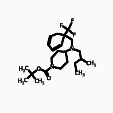 CCC(C)CN(CC1(C(F)(F)F)C=CC=CC1)C1CCN(C(=O)OC(C)(C)C)CC1